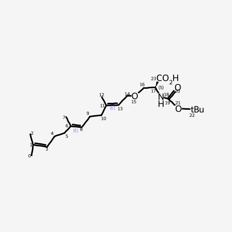 CC(C)=CCC/C(C)=C/CC/C(C)=C/COC[C@H](NC(=O)OC(C)(C)C)C(=O)O